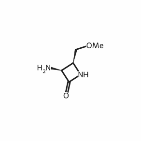 COC[C@H]1NC(=O)[C@H]1N